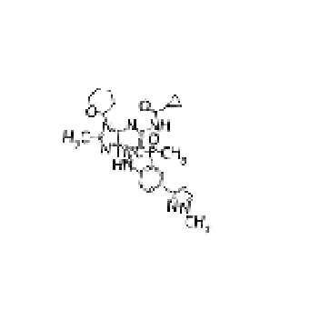 Cc1nc2c(Nc3ccc(-c4ccn(C)n4)cc3P(C)(C)=O)cc(NC(=O)C3CC3)nc2n1C1CCCCO1